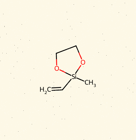 C=C[Si]1(C)OCCO1